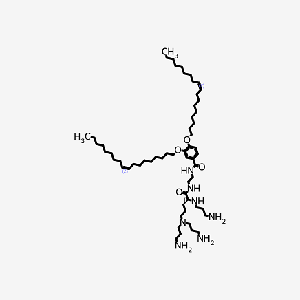 CCCCCCCC/C=C\CCCCCCCCOc1ccc(C(=O)NCCNC(=O)[C@H](CCCN(CCCN)CCCN)NCCCN)cc1OCCCCCCCC/C=C\CCCCCCCC